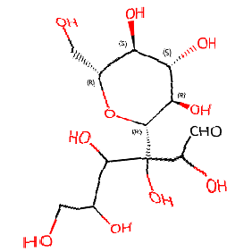 O=CC(O)C(O)(C(O)C(O)CO)[C@@H]1O[C@H](CO)[C@@H](O)[C@H](O)[C@H]1O